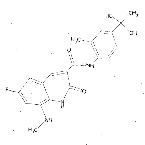 CNc1cc(F)cc2cc(C(=O)Nc3ccc(C(C)(O)O)cc3C)c(=O)[nH]c12